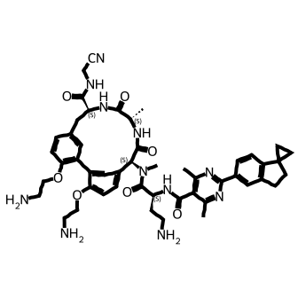 Cc1nc(-c2ccc3c(c2)CCC32CC2)nc(C)c1C(=O)N[C@@H](CCN)C(=O)N(C)[C@@H]1C(=O)N[C@@H](C)C(=O)N[C@H](C(=O)NCC#N)Cc2ccc(OCCN)c(c2)-c2cc1ccc2OCCN